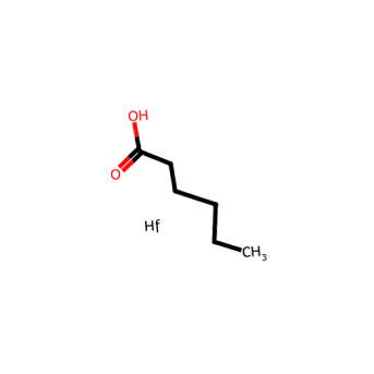 CCCCCC(=O)O.[Hf]